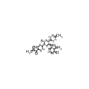 CN1CCN(c2cc(F)c(-c3ccc(C(=O)N(C)C)cc3)cc2Nc2ncnc(Cl)c2N)CC1